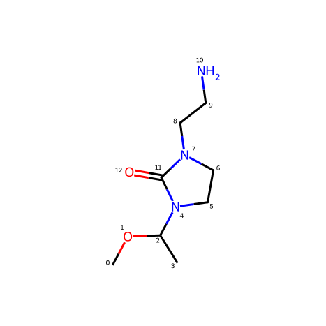 COC(C)N1CCN(CCN)C1=O